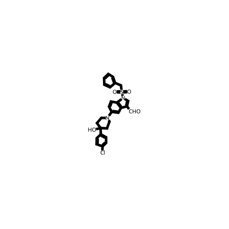 O=Cc1cn(S(=O)(=O)Cc2ccccc2)c2ccc(N3CCC(O)(c4ccc(Cl)cc4)CC3)cc12